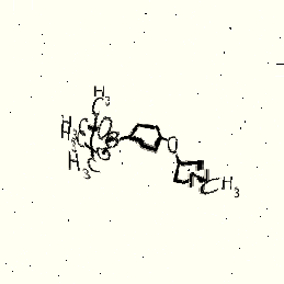 CN1CC(Oc2ccc(B3OC(C)(C)C(C)(C)O3)cc2)C1